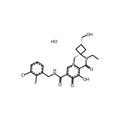 CCN1C(=O)c2c(O)c(=O)c(C(=O)NCc3cccc(Cl)c3F)cn2C[C@]12C[C@@H](CO)C2.Cl